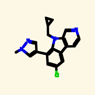 Cn1cc(-c2cc(Cl)cc3c4ccncc4n(CC4CC4)c23)cn1